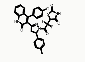 Cc1ccc(C2CC(c3c(-c4ccc(Cl)cc4)c4ccccc4[nH]c3=O)=NN2C(=O)C(F)(F)C2SC(=O)NC2=O)cc1